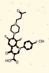 CC(=O)CCN1CCN(c2c(F)cc3c(=O)c(C(=O)O)cn(-c4ccc(F)cc4)c3c2F)CC1.Cl